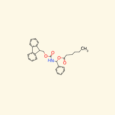 CCCCCC(=O)OC(NC(=O)OCC1c2ccccc2-c2ccccc21)c1ccccc1